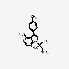 CC(=O)NCC(C)(C)n1nc(-c2ccc(C)cc2)c2c(N)ncnc21